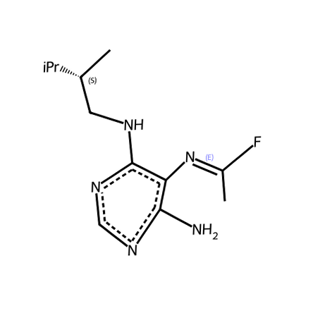 C/C(F)=N\c1c(N)ncnc1NC[C@@H](C)C(C)C